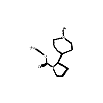 CC(C)N1CCC(C2CCCN2C(=O)OC(C)(C)C)CC1